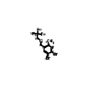 Cc1nc(Br)c(Br)cc1COCC(F)(F)F